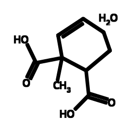 CC1(C(=O)O)C=CCCC1C(=O)O.O